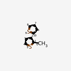 Cc1cccs1.c1ccsc1